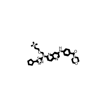 C[Si](C)(C)CCOCN(c1ccc2ncc(Nc3ccc(C(=O)N4CCOCC4)cc3)cc2n1)c1nnc(C2CCCC2)s1